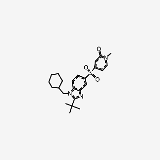 Cn1ccc(S(=O)(=O)c2ccc3c(c2)nc(C(C)(C)C)n3CC2CCCCC2)cc1=O